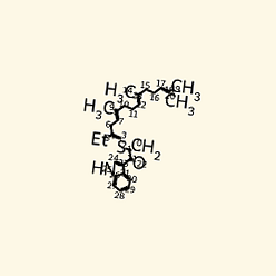 C=C(S/C=C(\CC)C/C=C(\C)CC/C=C(\C)CCC=C(C)C)C(=O)c1c[nH]c2ccccc12